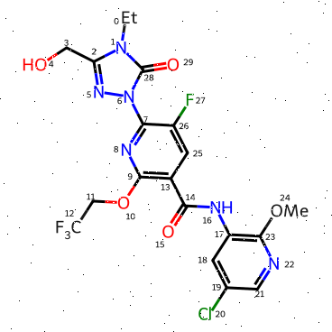 CCn1c(CO)nn(-c2nc(OCC(F)(F)F)c(C(=O)Nc3cc(Cl)cnc3OC)cc2F)c1=O